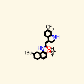 C[SiH](C)Oc1ccc2c(c1NC(=O)C=C1CCNc3cc(C(F)(F)F)ccc31)CC(C(C)(C)C)CC2